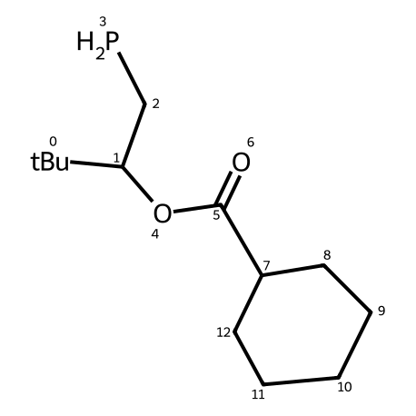 CC(C)(C)C(CP)OC(=O)C1CCCCC1